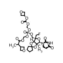 CC(C(=O)OCOP(=O)(OCOC(=O)OC1COC1)OC[C@@]1(CF)O[C@@H](n2ccc(=O)[nH]c2=O)[C@]2(C)OC3(CCCC3)O[C@H]12)C1COC1